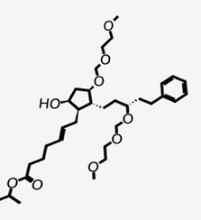 COCCOCO[C@@H](CCc1ccccc1)CC[C@@H]1[C@@H](C/C=C/CCCC(=O)OC(C)C)[C@@H](O)C[C@H]1OCOCCOC